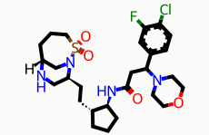 O=C(CC(c1ccc(Cl)c(F)c1)N1CCOCC1)N[C@H]1CCC[C@@H]1CC[C@H]1CN[C@@H]2CCCS(=O)(=O)N1C2